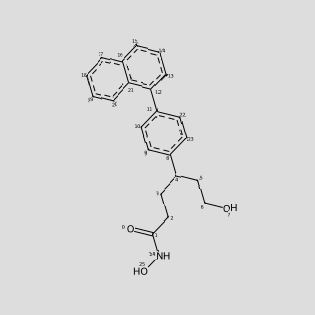 O=C(CCC(CCO)c1ccc(-c2cccc3ccccc23)cc1)NO